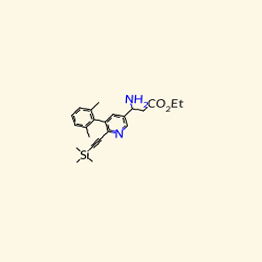 CCOC(=O)CC(N)c1cnc(C#C[Si](C)(C)C)c(-c2c(C)cccc2C)c1